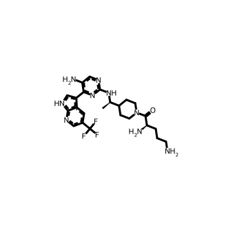 C[C@@H](Nc1ncc(N)c(-c2c[nH]c3ncc(C(F)(F)F)cc23)n1)C1CCN(C(=O)[C@H](N)CCCN)CC1